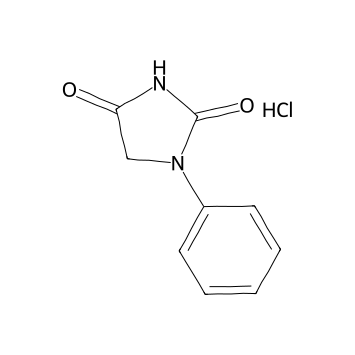 Cl.O=C1CN(c2ccccc2)C(=O)N1